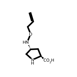 C=CCON[C@H]1CN[C@H](C(=O)O)C1